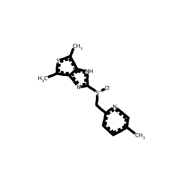 Cc1ccc(C[S+]([O-])c2nc3c(C)sc(C)c3[nH]2)nc1